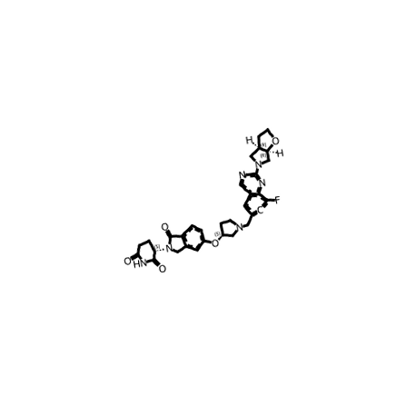 O=C1CC[C@H](N2Cc3cc(O[C@H]4CCN(Cc5cc(F)c6nc(N7C[C@H]8CCO[C@H]8C7)ncc6c5)C4)ccc3C2=O)C(=O)N1